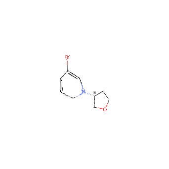 BrC1=CN([C@@H]2CCOC2)CC=C1